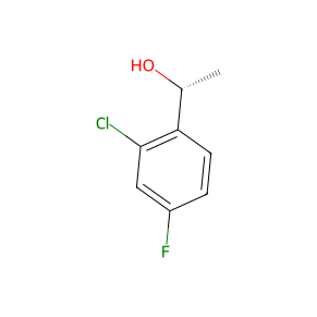 C[C@@H](O)c1ccc(F)cc1Cl